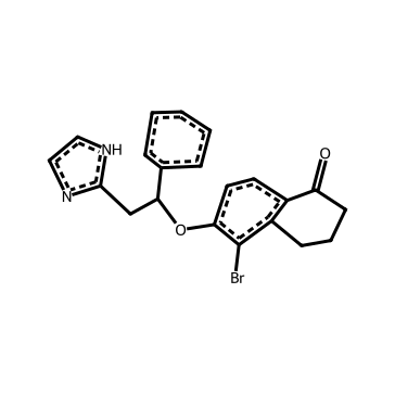 O=C1CCCc2c1ccc(OC(Cc1ncc[nH]1)c1ccccc1)c2Br